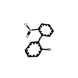 O=[N+]([O-])c1ccccc1-c1ccc[c]c1Br